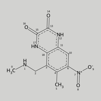 CNCc1c(C)c([N+](=O)[O-])cc2[nH]c(=O)c(=O)[nH]c12